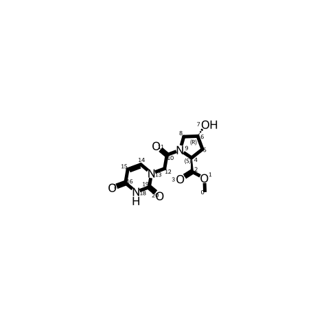 COC(=O)[C@@H]1C[C@@H](O)CN1C(=O)Cn1ccc(=O)[nH]c1=O